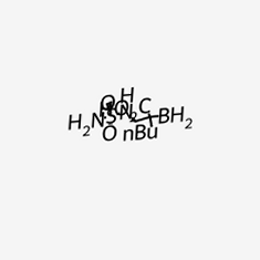 BC(CCCC)(CNS(N)(=O)=O)C(=O)O